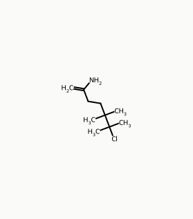 C=C(N)CCC(C)(C)C(C)(C)Cl